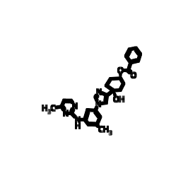 Cc1cc(Nc2nccc(C)n2)cc(-n2cnc([C@]3(O)CC[C@@H](OC(=O)c4ccccc4)CC3)c2)c1